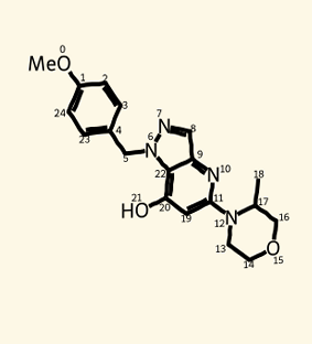 COc1ccc(Cn2ncc3nc(N4CCOCC4C)cc(O)c32)cc1